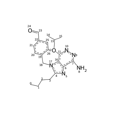 CCCCc1nc2c(N)nnc(OC(C)C)c2n1Cc1ccc(C=O)cc1